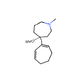 COC1(C2=CCCCC=C2)CCCN(C)CC1